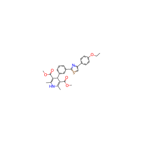 CCOc1ccc(-c2csc(-c3cccc(C4C(C(=O)OC)=C(C)NC(C)=C4C(=O)OC)c3)n2)cc1